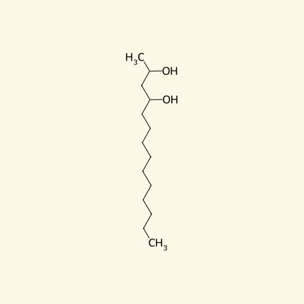 CCCCCCCCCCC(O)CC(C)O